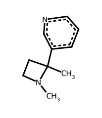 CN1CCC1(C)c1cccnc1